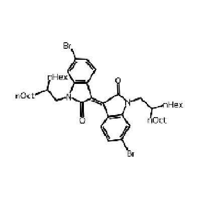 CCCCCCCCC(CCCCCC)CN1C(=O)C(=C2C(=O)N(CC(CCCCCC)CCCCCCCC)c3cc(Br)ccc32)c2ccc(Br)cc21